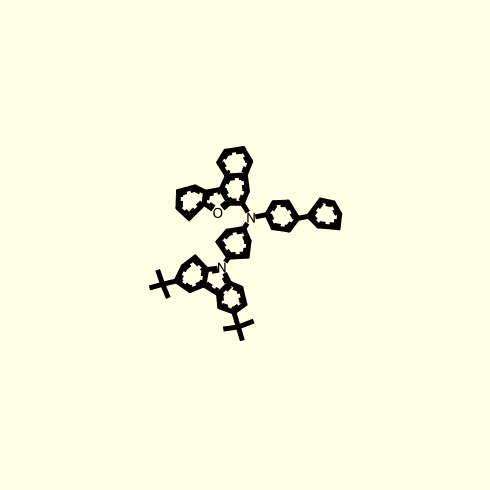 CC(C)(C)c1ccc2c(c1)c1cc(C(C)(C)C)ccc1n2-c1ccc(N(c2ccc(-c3ccccc3)cc2)c2cc3ccccc3c3c2oc2ccccc23)cc1